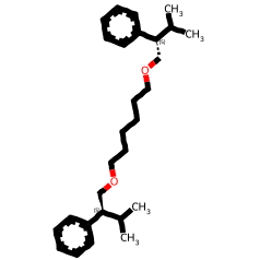 CC(C)[C@H](COCCCCCCOC[C@H](c1ccccc1)C(C)C)c1ccccc1